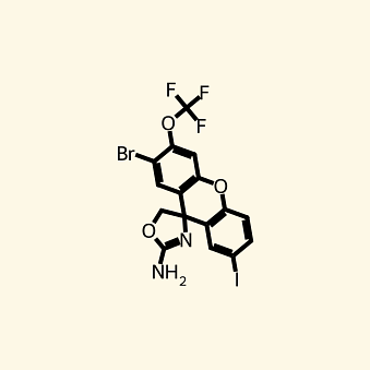 NC1=NC2(CO1)c1cc(I)ccc1Oc1cc(OC(F)(F)F)c(Br)cc12